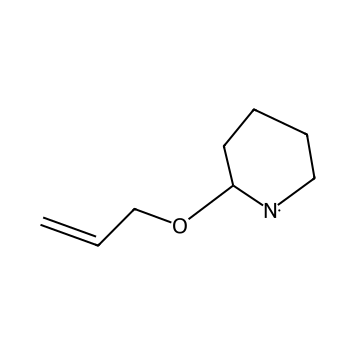 C=CCOC1CCCC[N]1